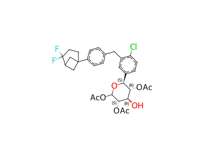 CC(=O)OC1O[C@@H](c2ccc(Cl)c(Cc3ccc(C45CCC(F)(F)C(C4)C5)cc3)c2)[C@H](OC(C)=O)[C@@H](O)[C@@H]1OC(C)=O